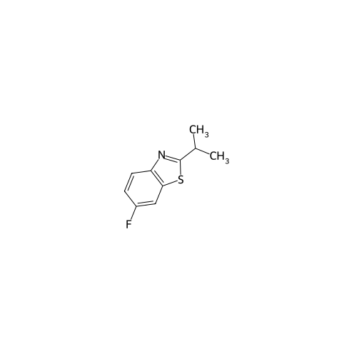 CC(C)c1nc2ccc(F)cc2s1